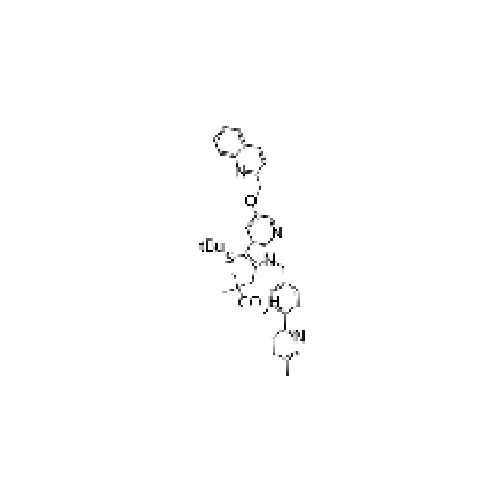 Cc1ccc(-c2ccc(Cn3c(CC(C)(C)C(=O)O)c(SC(C)(C)C)c4cc(OCc5ccc6ccccc6n5)cnc43)cc2)nc1